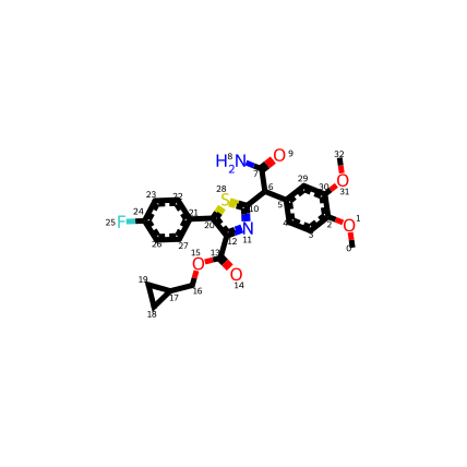 COc1ccc(C(C(N)=O)c2nc(C(=O)OCC3CC3)c(-c3ccc(F)cc3)s2)cc1OC